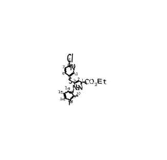 CCOC(=O)c1cc(Sc2ccc(Cl)nc2)n(-c2cccc(F)c2C)n1